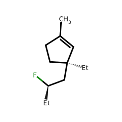 CC[C@@H](F)C[C@]1(CC)C=C(C)CC1